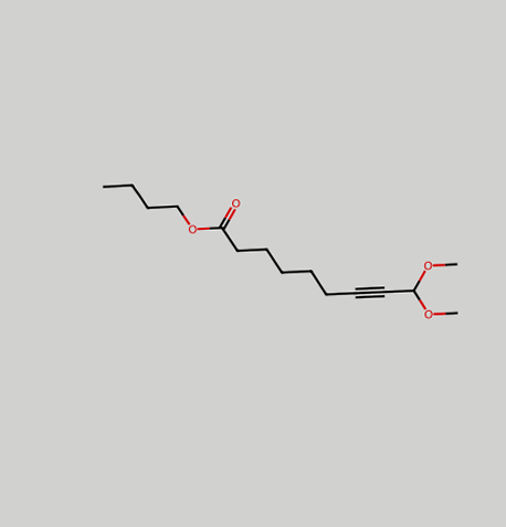 CCCCOC(=O)CCCCCC#CC(OC)OC